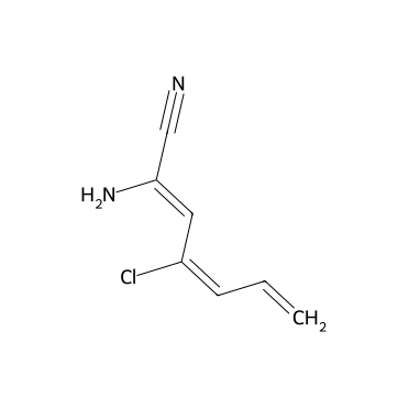 C=C/C=C(Cl)\C=C(/N)C#N